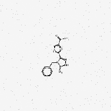 NC(=O)c1cnc(C2=NNN(C(F)(F)F)N2Cc2ccccc2)s1